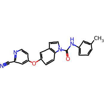 Cc1cccc(NC(=O)n2ccc3cc(Oc4ccnc(C#N)c4)ccc32)c1